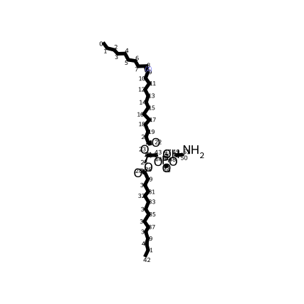 CCCCCCCC/C=C\CCCCCCCCCCCC(=O)O[C@H](COC(=O)CCCCCCCCCCCCCC)COP(=O)(O)OCCN